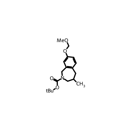 COCOc1ccc2c(c1)CN(C(=O)OC(C)(C)C)CC(C)C2